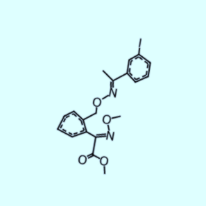 CO/N=C(/C(=O)OC)c1ccccc1CO/N=C(\C)c1cccc(I)c1